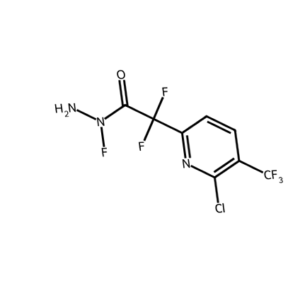 NN(F)C(=O)C(F)(F)c1ccc(C(F)(F)F)c(Cl)n1